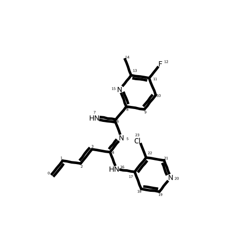 C=C/C=C/C(=N\C(=N)c1ccc(F)c(C)n1)Nc1ccncc1Cl